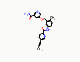 CC#Cc1ccc(C(=O)Nc2ccc(C)c(COc3cncc(C(N)=O)c3)c2)nc1